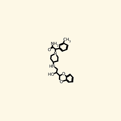 Cc1cccc(C(C(N)=O)N2CCC(NCC(O)C3COc4ccccc4O3)CC2)c1